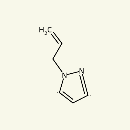 C=CCn1[c]c[c]n1